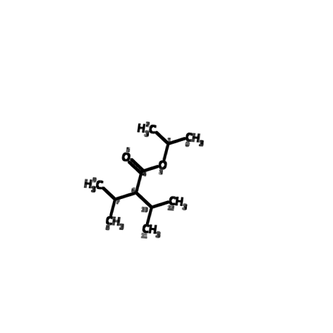 CC(C)OC(=O)C(C(C)C)C(C)C